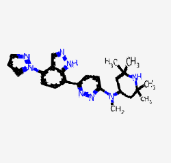 CN(c1ccc(-c2ccc(-n3cccn3)c3cn[nH]c23)nn1)C1CC(C)(C)NC(C)(C)C1